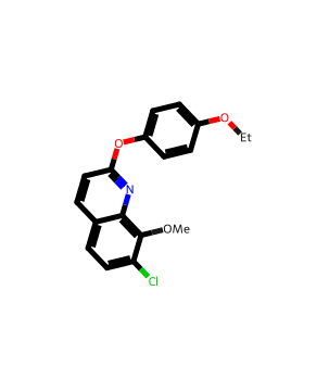 CCOc1ccc(Oc2ccc3ccc(Cl)c(OC)c3n2)cc1